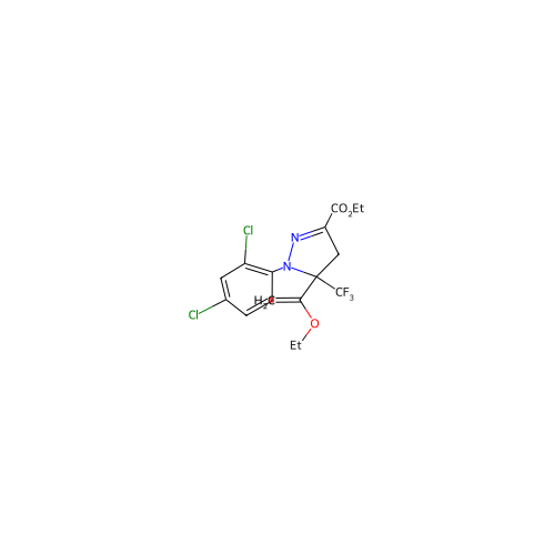 C=C(OCC)C1(C(F)(F)F)CC(C(=O)OCC)=NN1c1ccc(Cl)cc1Cl